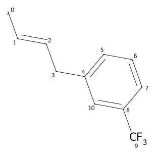 [CH2]C=CCc1cccc(C(F)(F)F)c1